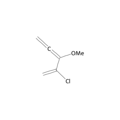 C=C=C(OC)C(=C)Cl